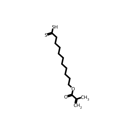 C=C(C)C(=O)OCCCCCCCCCCC(=S)S